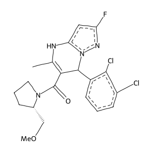 COC[C@@H]1CCCN1C(=O)C1=C(C)Nc2cc(F)nn2C1c1cccc(Cl)c1Cl